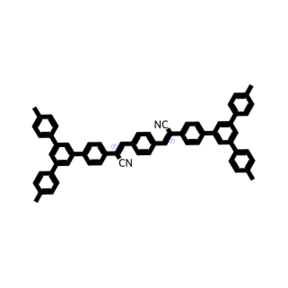 Cc1ccc(-c2cc(-c3ccc(C)cc3)cc(-c3ccc(/C(C#N)=C/c4ccc(/C=C(\C#N)c5ccc(-c6cc(-c7ccc(C)cc7)cc(-c7ccc(C)cc7)c6)cc5)cc4)cc3)c2)cc1